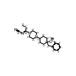 COC1(Cc2ccccc2F)CCC(N2CCN(/C(=N/C#N)SC)CC2)CC1